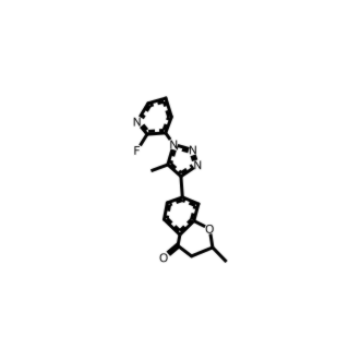 Cc1c(-c2ccc3c(c2)OC(C)CC3=O)nnn1-c1cccnc1F